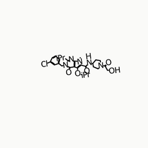 CC(C)Oc1c(C(=O)NC2CCN(C(=O)CO)CC2)n(C)c2nc(C(C)C)n(Cc3cccc(Cl)c3)c(=O)c12